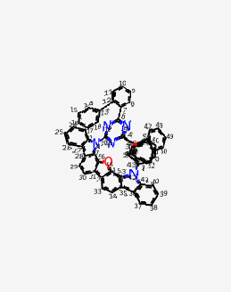 c1ccc(-c2nc(-c3ccccc3-c3ccccc3)nc(-n3c4ccccc4c4ccc5c6ccc7c8ccccc8n(-c8ccc9ccccc9c8)c7c6oc5c43)n2)cc1